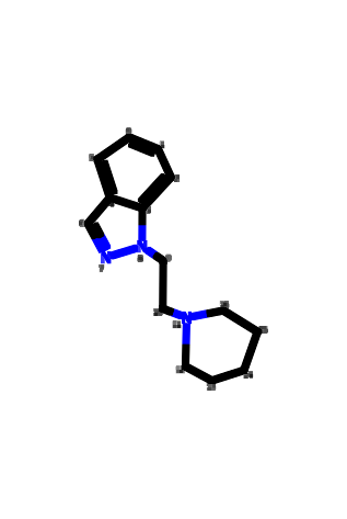 c1ccc2c(c1)cnn2CCN1CCCCC1